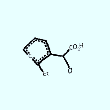 CCc1ccccc1C(Cl)C(=O)O